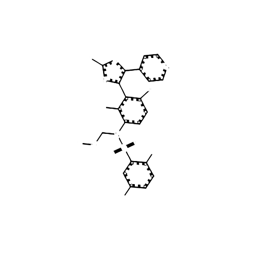 COCN(c1ccc(F)c(-c2nc(Br)sc2-c2ccncc2)c1F)S(=O)(=O)c1cc(F)ccc1F